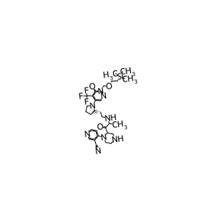 CC(NCC[C@@H]1CCCN1c1cnn(COCC[Si](C)(C)C)c(=O)c1C(F)(F)F)C(=O)C1CNCCN1c1ccncc1C#N